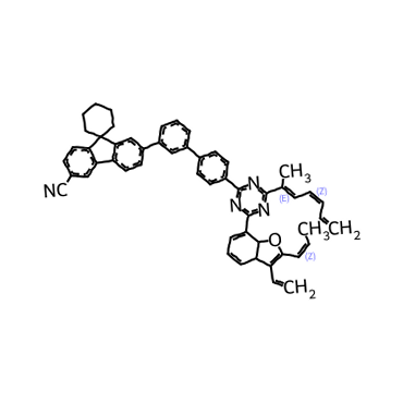 C=C/C=C\C=C(/C)c1nc(C2=CC=CC3C(C=C)=C(/C=C\C)OC23)nc(-c2ccc(-c3cccc(-c4ccc5c(c4)C4(CCCCC4)c4ccc(C#N)cc4-5)c3)cc2)n1